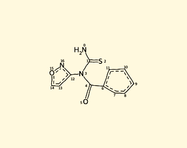 NC(=S)N(C(=O)c1ccccc1)c1ccon1